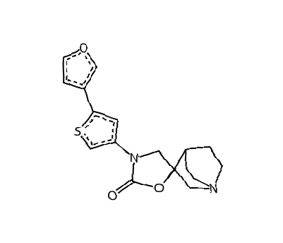 O=C1OC2(CN3CCC2CC3)CN1c1csc(-c2ccoc2)c1